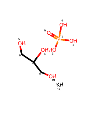 O=P(O)(O)O.OCC(O)CO.[KH]